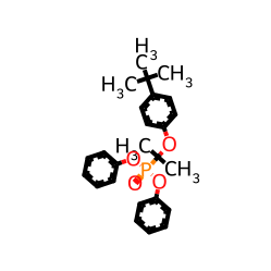 CC(C)(C)c1ccc(OC(C)(C)P(=O)(Oc2ccccc2)Oc2ccccc2)cc1